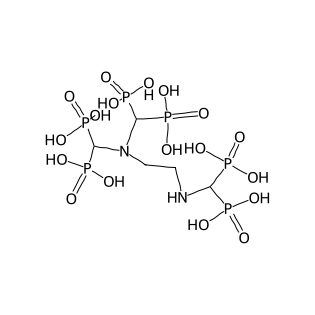 O=P(O)(O)C(NCCN(C(P(=O)(O)O)P(=O)(O)O)C(P(=O)(O)O)P(=O)(O)O)P(=O)(O)O